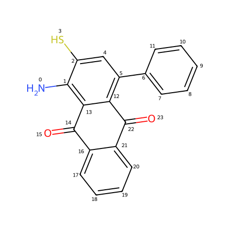 Nc1c(S)cc(-c2ccccc2)c2c1C(=O)c1ccccc1C2=O